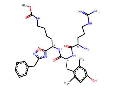 Cc1cc(O)cc(C)c1C[C@@H](NC(=O)[C@H](N)CCCNC(=N)N)C(=O)N[C@@H](CCCCNC(=O)OC(C)(C)C)c1nc(Cc2ccccc2)no1